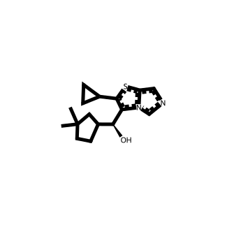 CC1(C)CCC([C@H](O)c2c(C3CC3)sc3cncn23)C1